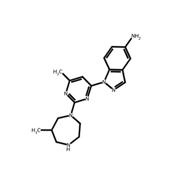 Cc1cc(-n2ncc3cc(N)ccc32)nc(N2CCNCC(C)C2)n1